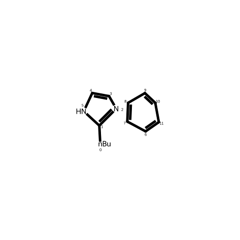 CCCCc1ncc[nH]1.c1ccccc1